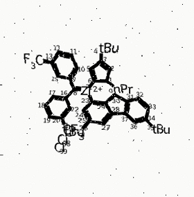 CCCC1C=C(C(C)(C)C)C=[C]1[Zr+2](=[C](c1cccc(C(F)(F)F)c1)c1cccc(C(F)(F)F)c1)[c]1cc(C(C)(C)C)cc2c1Cc1ccc(C(C)(C)C)cc1-2.[Cl-].[Cl-]